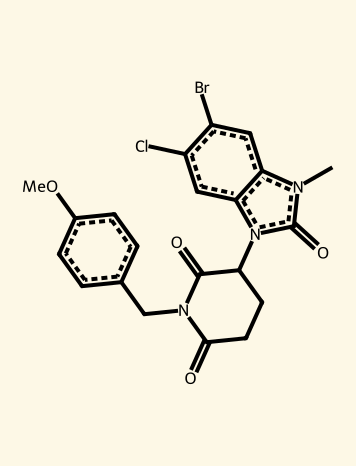 COc1ccc(CN2C(=O)CCC(n3c(=O)n(C)c4cc(Br)c(Cl)cc43)C2=O)cc1